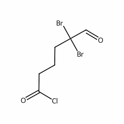 O=CC(Br)(Br)CCCC(=O)Cl